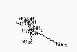 CCCCCCCCCCCCCCCCCCCCCCCCN(C(N)=O)[C@@H](CO[C@H]1O[C@H](CO)[C@H](O)[C@H](O)[C@H]1O)[C@H](O)[C@H](O)CCCCCCCCCCCCCC